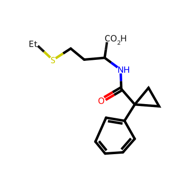 CCSCCC(NC(=O)C1(c2ccccc2)CC1)C(=O)O